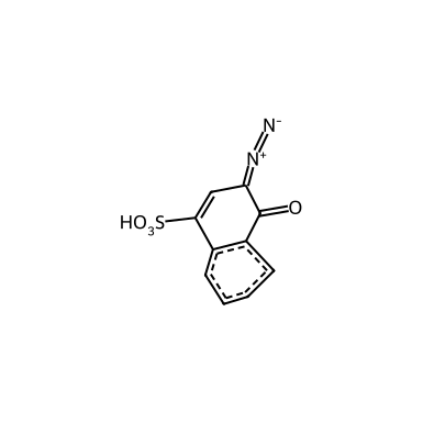 [N-]=[N+]=C1C=C(S(=O)(=O)O)c2ccccc2C1=O